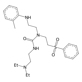 CCN(CC)CCNC(=O)N(CCNc1ccccc1C)CCS(=O)(=O)c1ccccc1